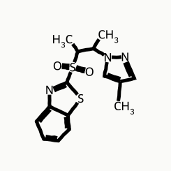 Cc1cnn(C(C)C(C)S(=O)(=O)c2nc3ccccc3s2)c1